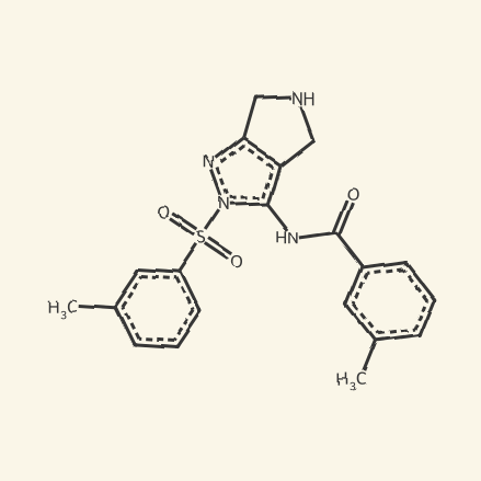 Cc1cccc(C(=O)Nc2c3c(nn2S(=O)(=O)c2cccc(C)c2)CNC3)c1